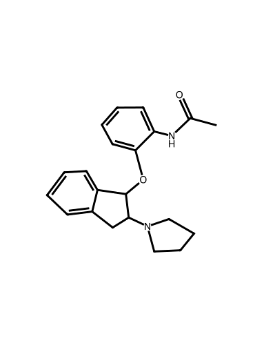 CC(=O)Nc1ccccc1OC1c2ccccc2CC1N1CCCC1